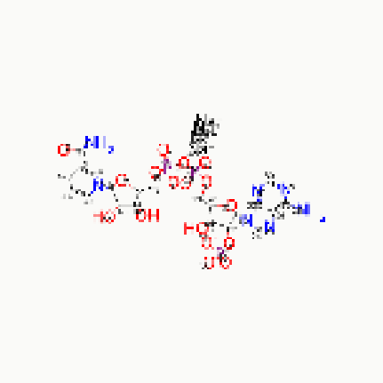 NC(=O)C1=CN(C2OC(COP(=O)([O-])OP(=O)([O-])OCC3OC(n4cnc5c(N)ncnc54)C(OP(=O)([O-])[O-])C3O)C(O)C2O)C=CC1.[Na+].[Na+].[Na+].[Na+]